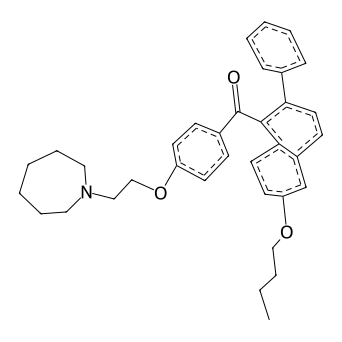 CCCCOc1ccc2c(C(=O)c3ccc(OCCN4CCCCCC4)cc3)c(-c3ccccc3)ccc2c1